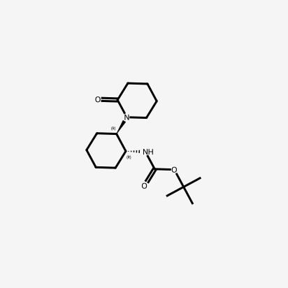 CC(C)(C)OC(=O)N[C@@H]1CCCC[C@H]1N1CCCCC1=O